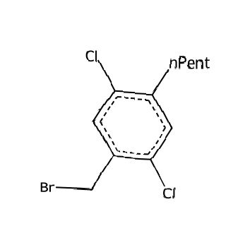 CCCCCc1cc(Cl)c(CBr)cc1Cl